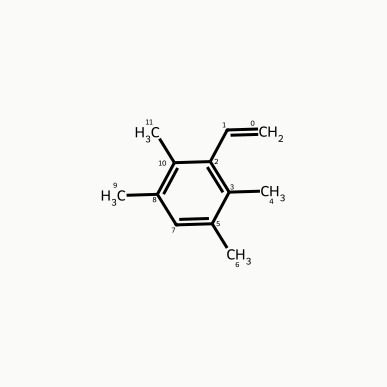 C=Cc1c(C)c(C)cc(C)c1C